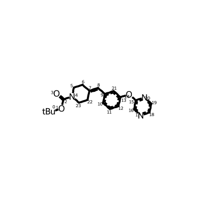 CC(C)(C)OC(=O)N1CCC(=Cc2cccc(Oc3cnccn3)c2)CC1